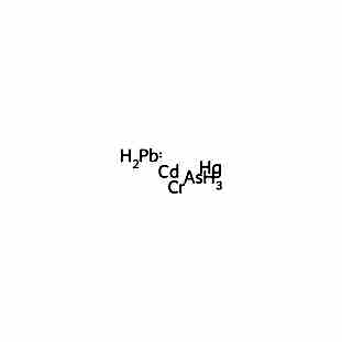 [AsH3].[Cd].[Cr].[Hg].[PbH2]